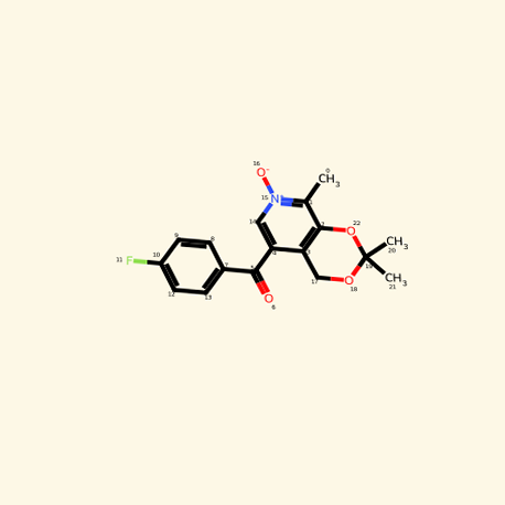 Cc1c2c(c(C(=O)c3ccc(F)cc3)c[n+]1[O-])COC(C)(C)O2